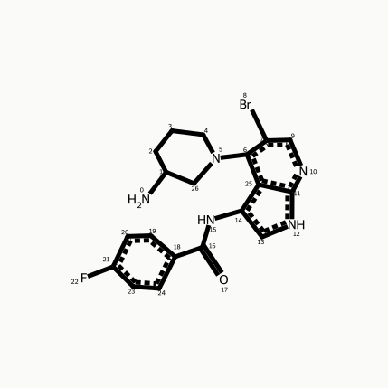 NC1CCCN(c2c(Br)cnc3[nH]cc(NC(=O)c4ccc(F)cc4)c23)C1